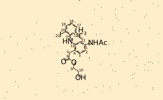 CC(=O)Nc1ccc(CC(=O)OCCO)c(Nc2c(C)cccc2I)c1